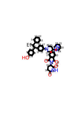 CCC(=C(c1ccc(O)cc1)c1ccc(N2CCC(CN3C4CC3CN(c3ccc5c(c3)C(=O)N(C3CCC(=O)NC3=O)C5=O)C4)CC2)cc1)c1ccccc1